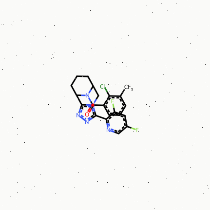 O=C(c1cccc(C(F)(F)F)c1Cl)N1C2CCCC1c1nnc(-c3ncc(F)cc3F)n1C2